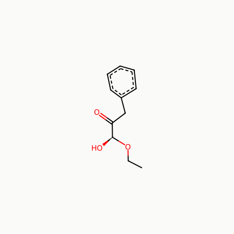 CCO[C@@H](O)C(=O)Cc1ccccc1